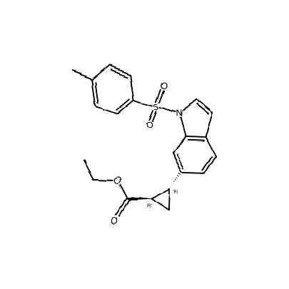 CCOC(=O)[C@@H]1C[C@H]1c1ccc2ccn(S(=O)(=O)c3ccc(C)cc3)c2c1